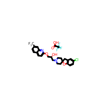 O=C(O)C(F)(F)F.O[C@H](COc1ccc2ccc(C(F)(F)F)cc2n1)CN1CCC2(CC1)Cc1cc(Cl)ccc1O2